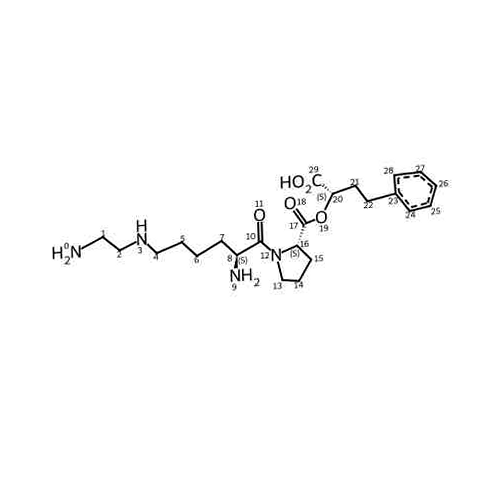 NCCNCCCC[C@H](N)C(=O)N1CCC[C@H]1C(=O)O[C@@H](CCc1ccccc1)C(=O)O